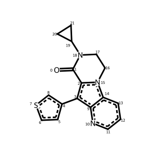 O=C1c2c(-c3ccsc3)c3ncccc3n2CCN1C1CC1